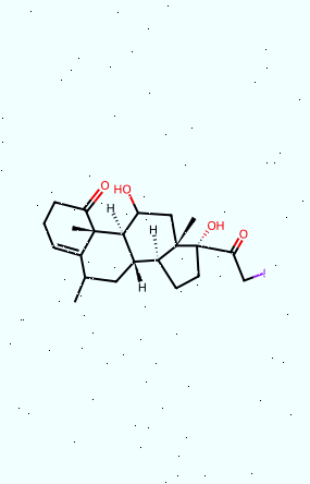 CC1C[C@@H]2[C@H](C(O)C[C@@]3(C)[C@H]2CC[C@]3(O)C(=O)CI)[C@@]2(C)C(=O)CCC=C12